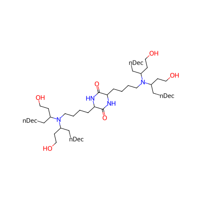 CCCCCCCCCCCC(CCO)N(CCCCC1NC(=O)C(CCCCN(C(CCO)CCCCCCCCCCC)C(CCO)CCCCCCCCCCC)NC1=O)C(CCO)CCCCCCCCCCC